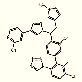 Cn1cc(CC(c2ccc(-c3c(-n4cnnn4)ccc(Cl)c3F)c[n+]2[O-])n2cc(-c3ccnc(C#N)c3)cn2)cn1